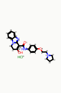 Cl.O=C(Nc1ccc(OCCN2CCCC2)cc1)C1=C(O)CCn2c1nc1ccccc12